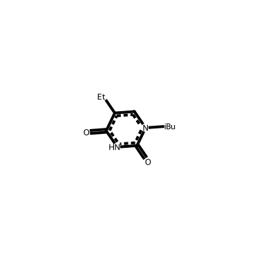 CCc1cn(C(C)CC)c(=O)[nH]c1=O